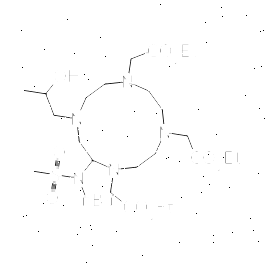 CCCCN(C1CN(CC(C)O)CCN(CC(=O)OCC)CCN(CC(=O)OCC)CCN1CC(=O)OCC)S(C)(=O)=O